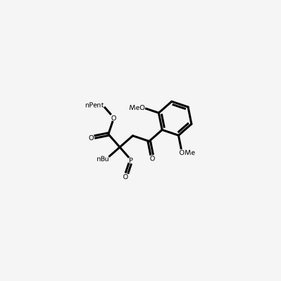 CCCCCOC(=O)C(CCCC)(CC(=O)c1c(OC)cccc1OC)P=O